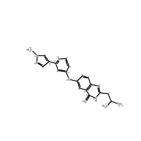 CC(C)Cc1nc2ccc(Oc3ccnc(-c4cnn(C)c4)c3)cc2c(=O)[nH]1